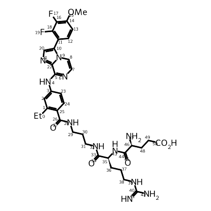 CCc1cc(Nc2nccn3c(-c4ccc(OC)c(F)c4F)cnc23)ccc1C(=O)NCCCNC(=O)[C@H](CCCNC(=N)N)NC(=O)[C@@H](N)CCC(=O)O